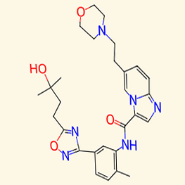 Cc1ccc(-c2noc(CCC(C)(C)O)n2)cc1NC(=O)c1cnc2ccc(CCN3CCOCC3)cn12